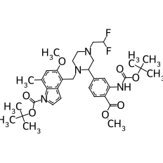 COC(=O)c1ccc(C2CN(CC(F)F)CCN2Cc2c(OC)cc(C)c3c2ccn3C(=O)OC(C)(C)C)cc1NC(=O)OC(C)(C)C